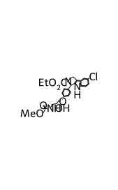 CCOC(=O)N1CCc2c([nH]c3ccc(Cl)cc23)C1c1ccc(OCC(O)CNC(=O)COC)cc1